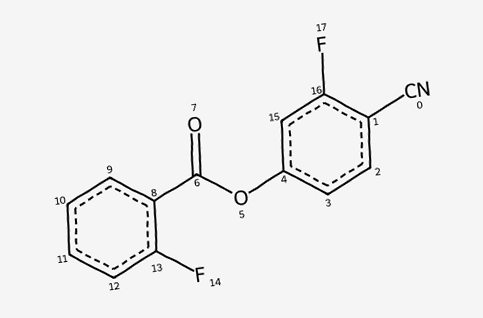 N#Cc1ccc(OC(=O)c2ccccc2F)cc1F